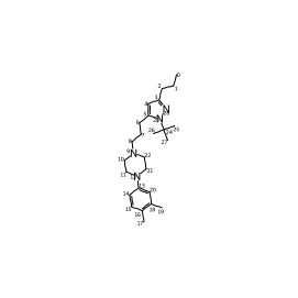 CCCc1cc(CCCN2CCN(c3ccc(C)c(C)c3)CC2)n(C(C)(C)C)n1